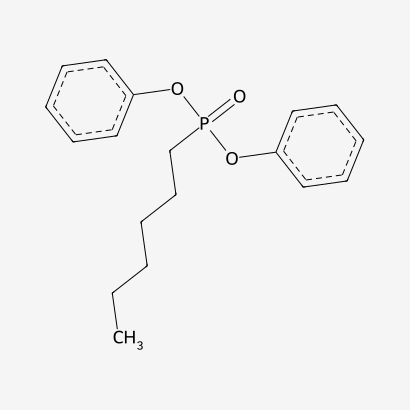 CCCCCCP(=O)(Oc1ccccc1)Oc1ccccc1